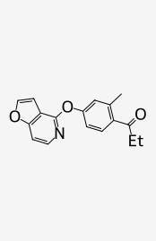 CCC(=O)c1ccc(Oc2nccc3occc23)cc1C